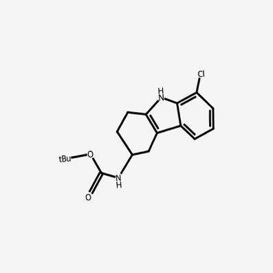 CC(C)(C)OC(=O)NC1CCc2[nH]c3c(Cl)cccc3c2C1